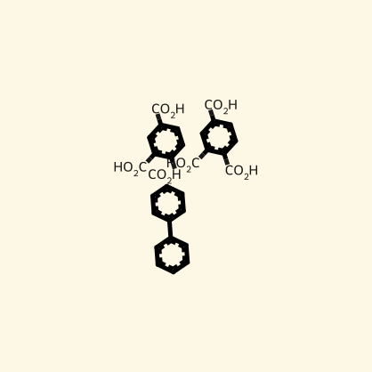 O=C(O)c1ccc(C(=O)O)c(C(=O)O)c1.O=C(O)c1ccc(C(=O)O)c(C(=O)O)c1.c1ccc(-c2ccccc2)cc1